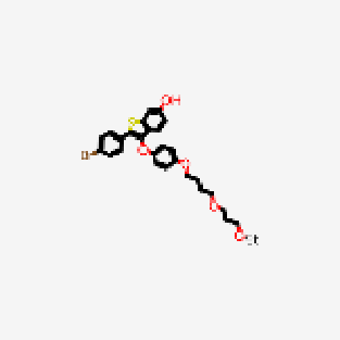 CCOCCCOCCCCOc1ccc(Oc2c(-c3ccc(Br)cc3)sc3cc(O)ccc23)cc1